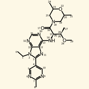 CCn1c(-c2cnc(C)nc2)nc2c(N[C@@H](C(=O)N3CC(C)OC(C)C3)[C@@H](C)OC)ncnc21